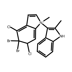 Cc1[nH]c2ccccc2c1[N+]1(C)C=[C]C2=C(Cl)C(Br)(Br)C(Cl)C=C21